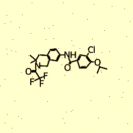 CC(C)Oc1ccc(C(=O)Nc2ccc3c(c2)CN(C(=O)C(F)(F)F)C(C)(C)C3)cc1Cl